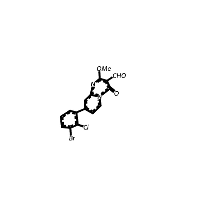 COc1nc2cc(-c3cccc(Br)c3Cl)ccn2c(=O)c1C=O